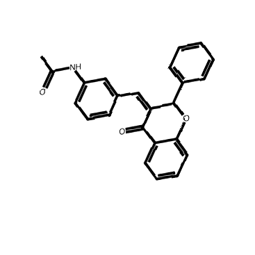 CC(=O)Nc1cccc(C=C2C(=O)c3ccccc3OC2c2ccccc2)c1